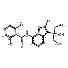 CCC(O)(CC)c1c(C)oc2c(NC(=O)c3c(Cl)cccc3Cl)cccc12